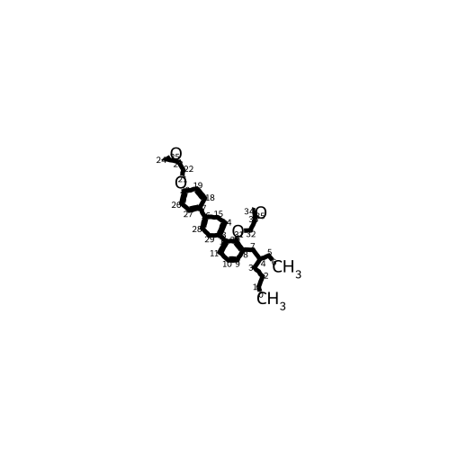 CCCCC(CC)Cc1cccc(C2=CCC(c3ccc(OCC4CO4)cc3)=CC2)c1OCC1CO1